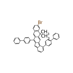 CC1(C)c2cc(Br)ccc2C=c2c1cc1c(c2-c2ccc(-c3ccccc3)cc2)C=c2cccc(-c3ccc(-c4ccccc4)cc3)c2=1